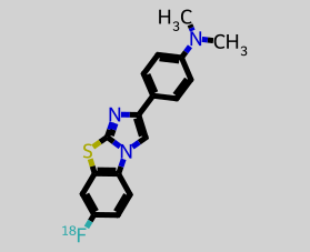 CN(C)c1ccc(-c2cn3c(n2)sc2cc([18F])ccc23)cc1